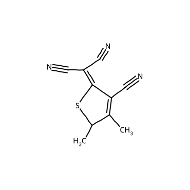 CC1=C(C#N)C(=C(C#N)C#N)SC1C